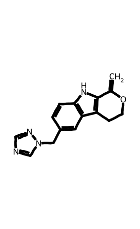 C=C1OCCc2c1[nH]c1ccc(Cn3cncn3)cc21